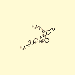 CCOCOc1cc(C=O)ccc1-c1nnc(NC2CCCN(CC(=O)OCC)C2)c2ccccc12